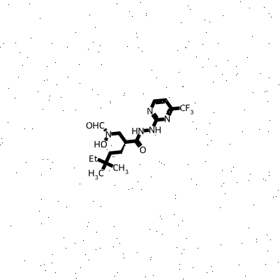 CCC(C)(C)CC[C@@H](CN(O)C=O)C(=O)NNc1nccc(C(F)(F)F)n1